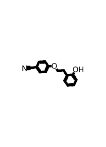 N#Cc1ccc(OCCc2ccccc2O)cc1